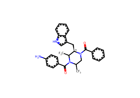 Nc1ccc(C(=O)N2C(C(F)(F)F)CN(C(=O)c3ccccc3)[C@H](Cc3c[nH]c4ccccc34)C2C(F)(F)F)cc1